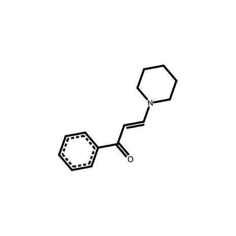 O=C(C=CN1CCCCC1)c1ccccc1